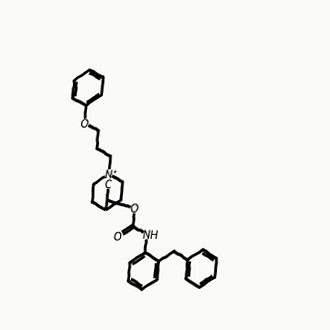 O=C(Nc1ccccc1Cc1ccccc1)OC1C[N+]2(CCCOc3ccccc3)CCC1CC2